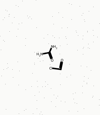 NC(N)=O.O=CCl